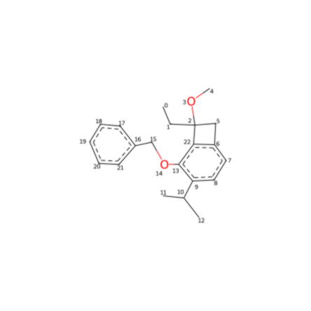 CCC1(OC)Cc2ccc(C(C)C)c(OCc3ccccc3)c21